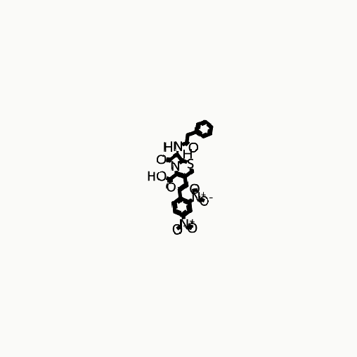 O=C(Cc1ccccc1)N[C@@H]1C(=O)N2C(C(=O)O)=C(C=Cc3ccc([N+](=O)[O-])cc3[N+](=O)[O-])CS[C@@H]12